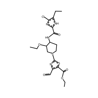 CCOC(=O)c1sc(N2CCC(NC(=O)c3nc(Cl)c(CC)[nH]3)C(OCC)C2)nc1C=O